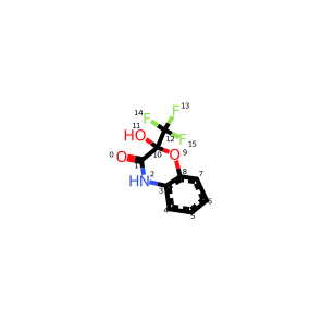 O=C1Nc2ccccc2OC1(O)C(F)(F)F